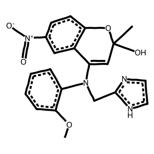 COc1ccccc1N(Cc1ncc[nH]1)C1=CC(C)(O)Oc2ccc([N+](=O)[O-])cc21